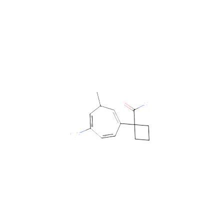 CC1C=C(N)C=CC(C2(C(N)=O)CCC2)=C1